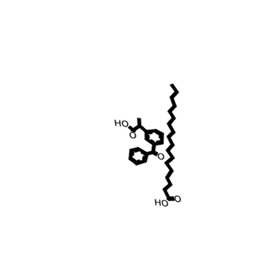 CC(C(=O)O)c1cccc(C(=O)c2ccccc2)c1.CCCCCCCCCCCCCCCCCC(=O)O